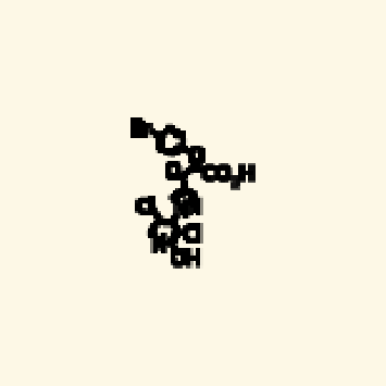 O=C(O)C(Oc1ccc(Br)cc1)C(=O)c1cnn(-c2c(Cl)cnc(O)c2Cl)c1